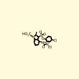 CCNC(=O)Nc1cccc2c1c(S(=O)(=O)Oc1ccc(Cl)cc1)c(C)n2CC(=O)O